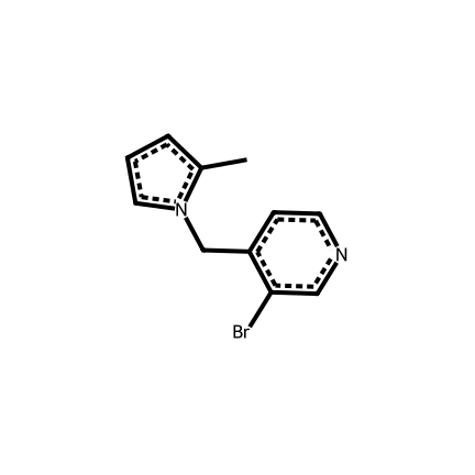 Cc1cccn1Cc1ccncc1Br